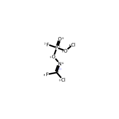 O=P(F)(OCl)O/N=C(\F)Cl